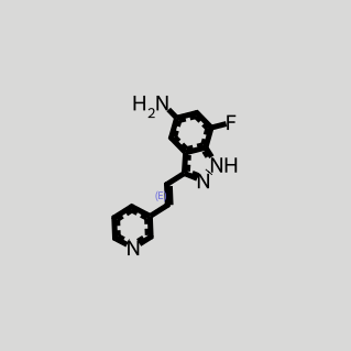 Nc1cc(F)c2[nH]nc(/C=C/c3cccnc3)c2c1